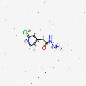 NNC(=O)Cc1ccnc(Cl)c1